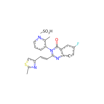 CS(=O)(=O)O.Cc1nc(C=Cc2nc3ccc(F)cc3c(=O)n2-c2cccnc2C)cs1